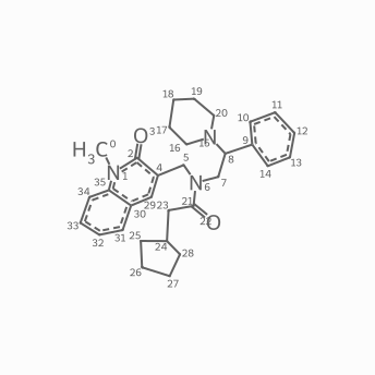 Cn1c(=O)c(CN(CC(c2ccccc2)N2CCCCC2)C(=O)CC2CCCC2)cc2ccccc21